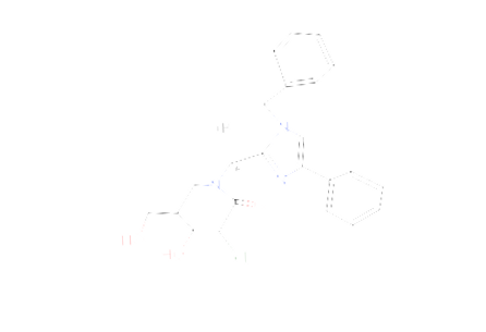 CC(C)(C)[C@H](c1nc(-c2ccccc2)cn1Cc1ccccc1)N(CC(CO)CO)C(=O)CCl